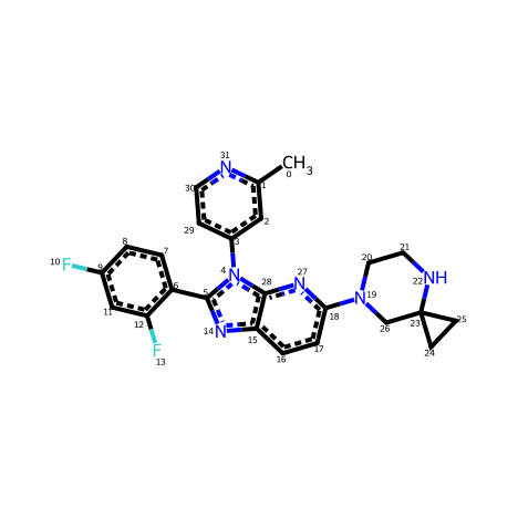 Cc1cc(-n2c(-c3ccc(F)cc3F)nc3ccc(N4CCNC5(CC5)C4)nc32)ccn1